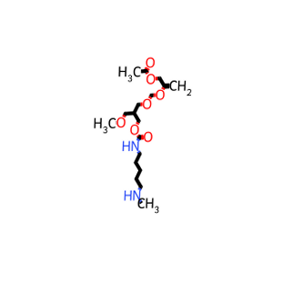 C=C(COC(C)=O)OCOCC(COC)COC(=O)NCCCCCNC